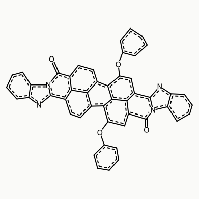 O=c1c2ccc3c4c(Oc5ccccc5)cc5c6c(cc(Oc7ccccc7)c(c7ccc(c2c73)c2nc3ccccc3n12)c46)c(=O)n1c2ccccc2nc51